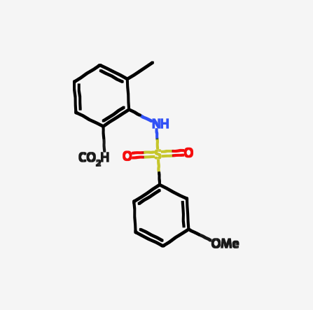 COc1cccc(S(=O)(=O)Nc2c(C)cccc2C(=O)O)c1